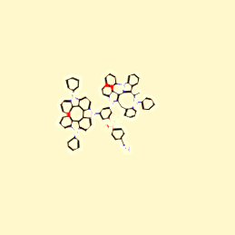 CC1c2c(n(-c3ccccc3)c3ccccc23)-c2c(n(-c3cc(-n4c5ccc6c(c7ccccc7n6-c6ccccc6)c5c5c6c7ccccc7n(-c7ccccc7)c6ccc54)cc(S(=O)(=O)c4ccc(C#N)cc4)c3)c3ccccc23)Cc2ccccc2N1c1ccccc1